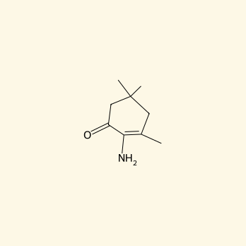 CC1=C(N)C(=O)CC(C)(C)C1